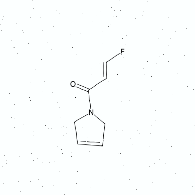 O=C(/C=C/F)N1CC=CC1